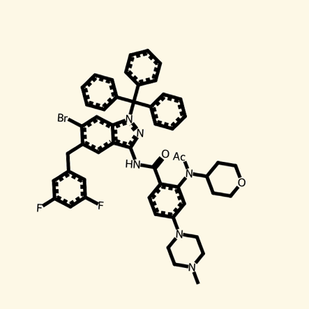 CC(=O)N(c1cc(N2CCN(C)CC2)ccc1C(=O)Nc1nn(C(c2ccccc2)(c2ccccc2)c2ccccc2)c2cc(Br)c(Cc3cc(F)cc(F)c3)cc12)C1CCOCC1